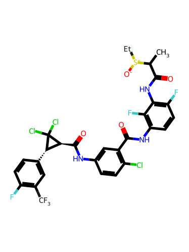 CC[S+]([O-])C(C)C(=O)Nc1c(F)ccc(NC(=O)c2cc(NC(=O)[C@H]3[C@H](c4ccc(F)c(C(F)(F)F)c4)C3(Cl)Cl)ccc2Cl)c1F